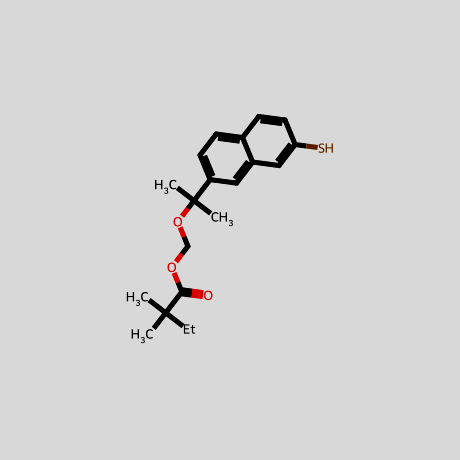 CCC(C)(C)C(=O)OCOC(C)(C)c1ccc2ccc(S)cc2c1